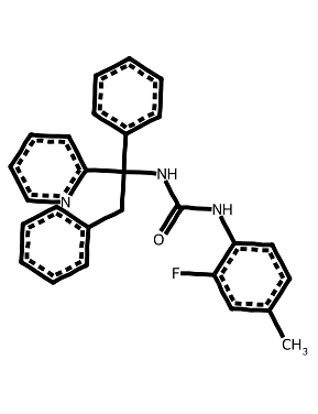 Cc1ccc(NC(=O)NC(Cc2ccccc2)(c2ccccc2)c2ccccn2)c(F)c1